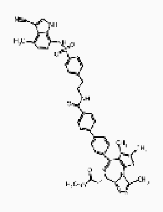 COC(=O)C[C@@H]1N=C(c2ccc(-c3ccc(C(=O)NCCc4ccc(S(=O)(=O)Nc5ccc(C)c6c(C#N)c[nH]c56)cc4)cc3)cc2)c2c(sc(C)c2C)-n2c(C)nnc21